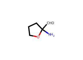 NC1(C=O)CCCO1